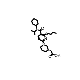 CCCSc1nc(N2CCC[C@@H](CC(=O)O)C2)ccc1C(=O)N(C(C)C)C1CCCCC1